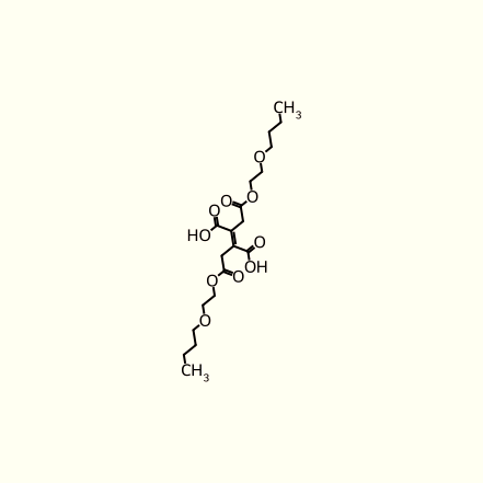 CCCCOCCOC(=O)CC(C(=O)O)=C(CC(=O)OCCOCCCC)C(=O)O